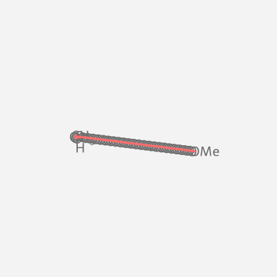 COCCOCCOCCOCCOCCOCCOCCOCCOCCOCCOCCOCCOCCOCCOCCOCCOCCOCCOCCOCCOCCOCCOCCOCCOCCOCCOCCOCCOCCOCCOCCOCCOCCOCCOCCOCCOCCOCCOCCOCCOCCOCCOCCOCCOCCNC(=O)CCC1=C(C)C(=O)OC1=O